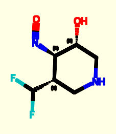 O=N[C@H]1[C@H](O)CNC[C@@H]1C(F)F